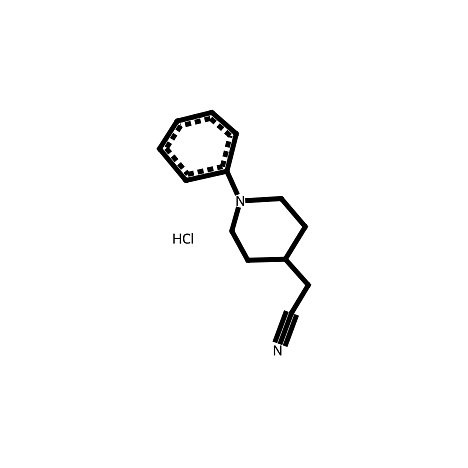 Cl.N#CCC1CCN(c2ccccc2)CC1